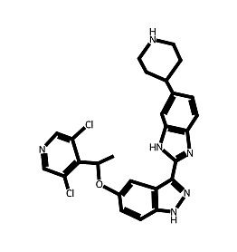 CC(Oc1ccc2[nH]nc(-c3nc4ccc(C5CCNCC5)cc4[nH]3)c2c1)c1c(Cl)cncc1Cl